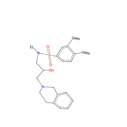 CCN(CC(O)CN1CCc2ccccc2C1)S(=O)(=O)c1ccc(OC)c(OC)c1